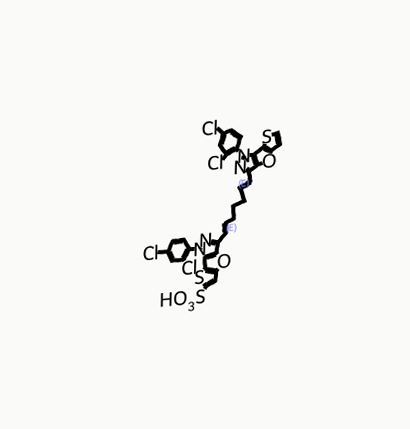 O=S(=O)(O)c1cc2oc3c(/C=C/CCC/C=C/c4nn(-c5ccc(Cl)cc5Cl)c5c4oc4ccsc45)nn(-c4ccc(Cl)cc4Cl)c3c2s1